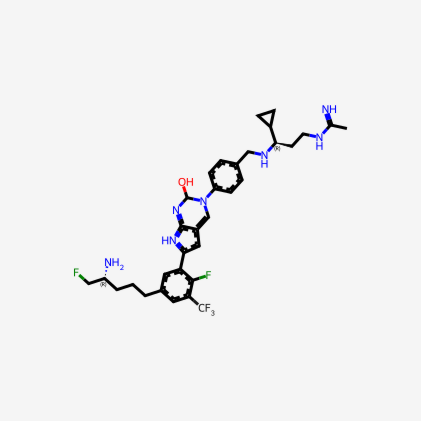 CC(=N)NCC[C@@H](NCc1ccc(N2C=c3cc(-c4cc(CCC[C@@H](N)CF)cc(C(F)(F)F)c4F)[nH]c3=NC2O)cc1)C1CC1